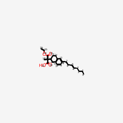 CCCCCCCCc1ccc2c(c1)CCC(C(C)(C(=O)O)C(=O)OCC)C2